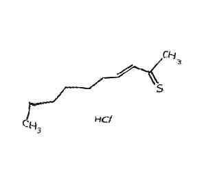 CCCCCCC=CC(C)=S.Cl